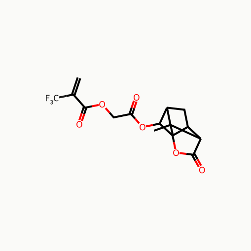 C=C(C(=O)OCC(=O)OC1C2OC(=O)C3C2CC1C3(C)C)C(F)(F)F